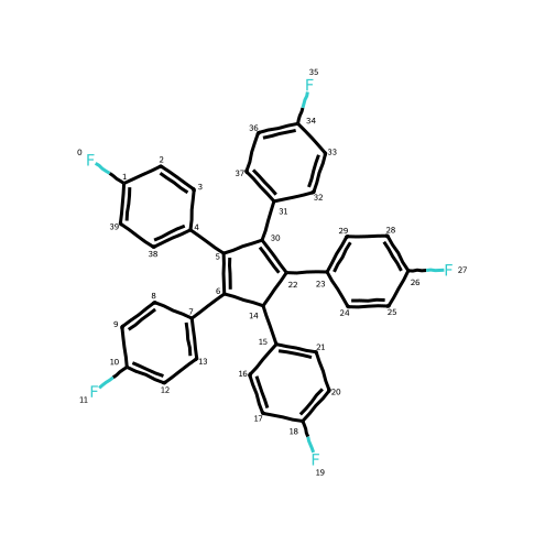 Fc1ccc(C2=C(c3ccc(F)cc3)C(c3ccc(F)cc3)C(c3ccc(F)cc3)=C2c2ccc(F)cc2)cc1